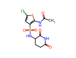 CC(=O)Nc1sc(Cl)cc1S(=O)(=O)NC1CCC(=O)NC1=O